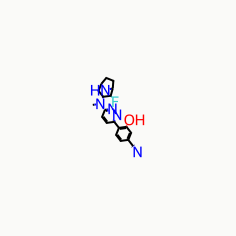 CN(c1ccc(-c2ccc(C#N)cc2O)nn1)[C@H]1CC2CCC(N2)[C@H]1F